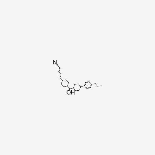 CCCc1ccc(C2CCC(C(O)C3CCC(CCC=CC#N)CC3)CC2)cc1